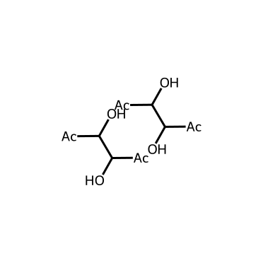 CC(=O)C(O)C(O)C(C)=O.CC(=O)C(O)C(O)C(C)=O